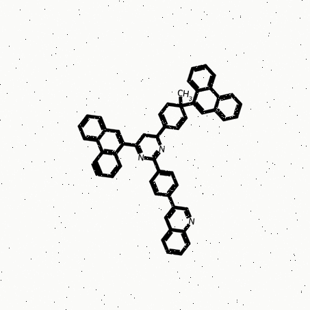 CC1(c2cc3ccccc3c3ccccc23)C=CC(C2CC(c3cc4ccccc4c4c#cccc34)=NC(c3ccc(-c4cnc5ccccc5c4)cc3)=N2)=CC1